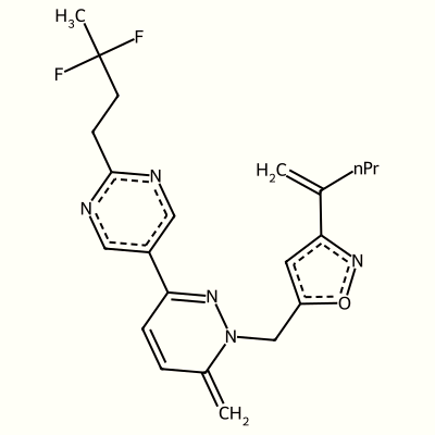 C=C(CCC)c1cc(CN2N=C(c3cnc(CCC(C)(F)F)nc3)C=CC2=C)on1